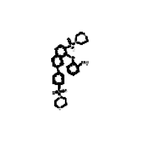 O=C(O)c1ccccc1Nc1c(S(=O)(=O)N2CCOCC2)cnc2ccc(-c3ccc(S(=O)(=O)N4CCOCC4)cc3)cc12